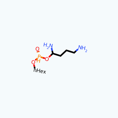 CCCCCCO[PH](=O)OC(N)CCCN